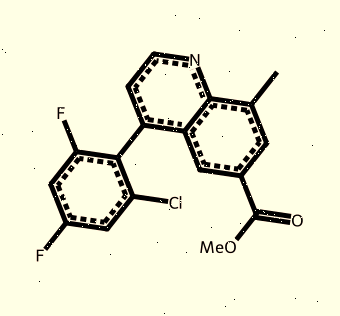 COC(=O)c1cc(C)c2nccc(-c3c(F)cc(F)cc3Cl)c2c1